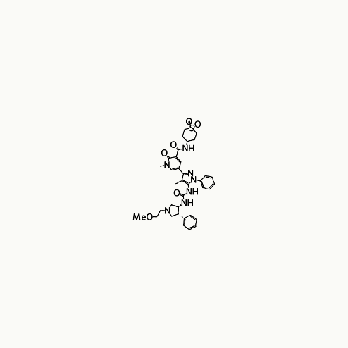 COCCN1C[C@@H](NC(=O)Nc2c(C)c(-c3cc(C(=O)NC4CCS(=O)(=O)CC4)c(=O)n(C)c3)nn2-c2ccccc2)[C@H](c2ccccc2)C1